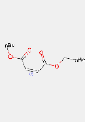 CCCCCCCCOC(=O)/C=C\C(=O)OCCCC